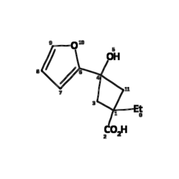 CCC1(C(=O)O)CC(O)(c2ccco2)C1